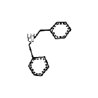 [LiH].c1ccc([CH2][Cu][CH2]c2ccccc2)cc1